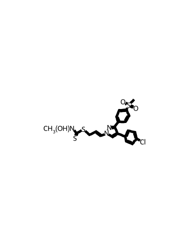 CN(O)C(=S)SCC=Cn1cc(-c2ccc(Cl)cc2)c(-c2ccc(S(C)(=O)=O)cc2)n1